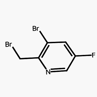 Fc1cnc(CBr)c(Br)c1